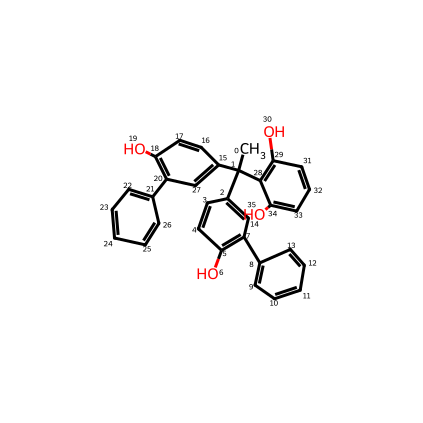 CC(c1ccc(O)c(-c2ccccc2)c1)(c1ccc(O)c(-c2ccccc2)c1)c1c(O)cccc1O